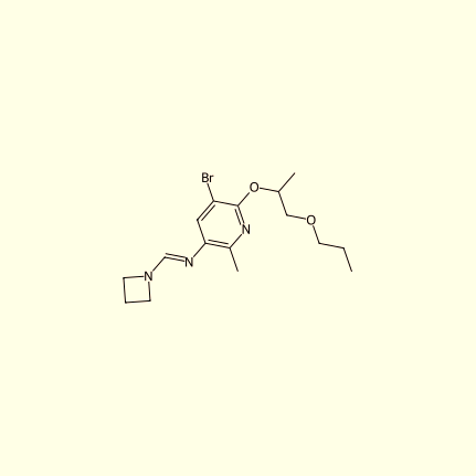 CCCOCC(C)Oc1nc(C)c(N=CN2CCC2)cc1Br